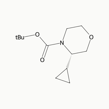 CC(C)(C)OC(=O)N1CCOC[C@@H]1C1CC1